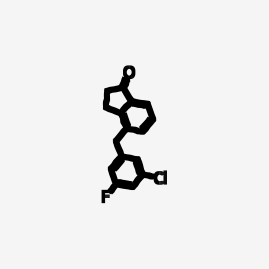 O=C1CCc2c(Cc3cc(F)cc(Cl)c3)cccc21